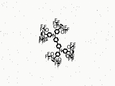 Cc1cc(N(c2ccc(-c3ccc(N(c4ccc(C5N(C(=O)C(F)(F)F)C=CN5C(=O)C(F)(F)F)cc4)c4ccc(C5N(C(=O)C(F)(F)F)C=CN5C(=O)C(F)(F)F)c(C)c4)cc3)cc2)c2ccc(C3N(C(=O)C(F)(F)F)C=CN3C(=O)C(F)(F)F)cc2)ccc1C1N(C(=O)C(F)(F)F)C=CN1C(=O)C(F)(F)F